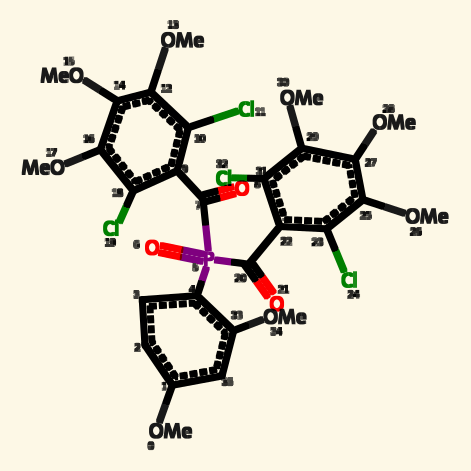 COc1ccc(P(=O)(C(=O)c2c(Cl)c(OC)c(OC)c(OC)c2Cl)C(=O)c2c(Cl)c(OC)c(OC)c(OC)c2Cl)c(OC)c1